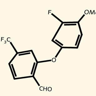 COc1ccc(Oc2cc(C(F)(F)F)ccc2C=O)cc1F